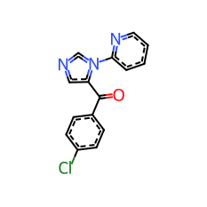 O=C(c1ccc(Cl)cc1)c1cncn1-c1ccccn1